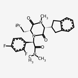 CC(C)C[C@@H]1C(=O)N(C)[C@H](C2Cc3ccccc3C2)C(=O)N1[C@@H](C(=O)N(C)C)c1ccc(F)cc1F